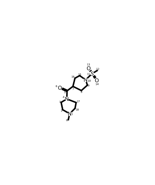 CN1CCN(C(=O)C2CCN(S(C)(=O)=O)CC2)CC1